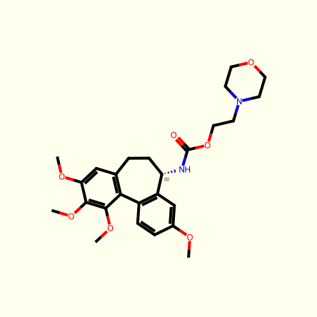 COc1ccc2c(c1)[C@@H](NC(=O)OCCN1CCOCC1)CCc1cc(OC)c(OC)c(OC)c1-2